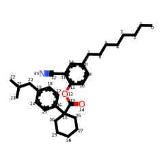 CCCCCCCCc1ccc(OC(=O)C2(c3ccc(CC(C)C)cc3)CCCCC2)c(C#N)c1